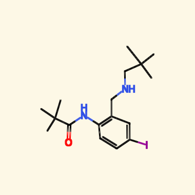 CC(C)(C)CNCc1cc(I)ccc1NC(=O)C(C)(C)C